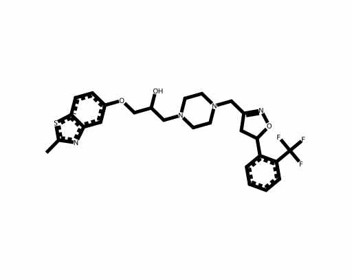 Cc1nc2cc(OCC(O)CN3CCN(CC4=NOC(c5ccccc5C(F)(F)F)C4)CC3)ccc2s1